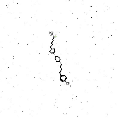 N#C/C(F)=C/C=C/CCC1CCC([C@H]2CC[C@H](CCCCc3ccc(C(F)(F)F)cc3)CC2)CC1